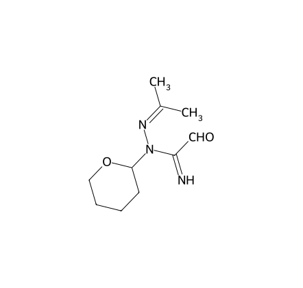 CC(C)=NN(C(=N)C=O)C1CCCCO1